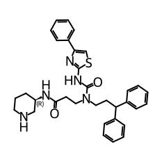 O=C(CCN(CCC(c1ccccc1)c1ccccc1)C(=O)Nc1nc(-c2ccccc2)cs1)N[C@@H]1CCCNC1